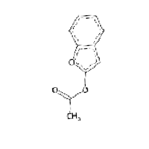 CC(=O)Oc1cc2ccccc2o1